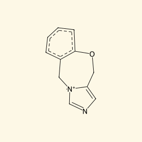 C1=NC=C2COc3ccccc3C[N+]12